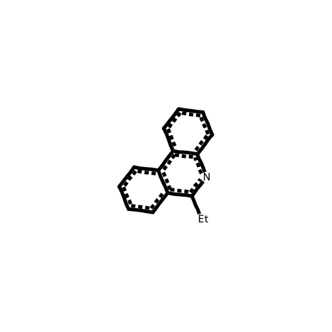 CCc1nc2ccccc2c2ccccc12